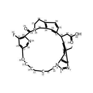 Cc1c2ccc3c1nnn3CCCCCCOc1cnc(c(F)c1)C(=O)N1CCc3ccc(cc3C1)C2CC(=O)O